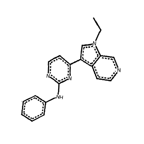 CCn1cc(-c2ccnc(Nc3c[c]ccc3)n2)c2ccncc21